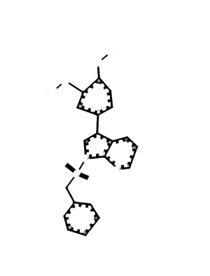 COc1ccc(-c2cn(S(=O)(=O)Cc3ccccc3)c3ncccc23)cc1OC